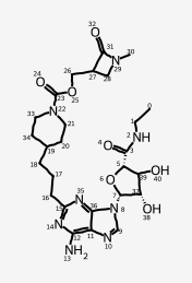 CCNC(=O)[C@H]1O[C@@H](n2cnc3c(N)nc(CCCC4CCN(C(=O)OCC5CN(C)C5=O)CC4)nc32)[C@@H](O)C1O